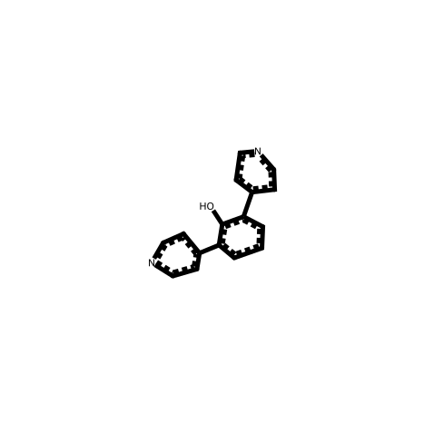 Oc1c(-c2ccncc2)cccc1-c1ccncc1